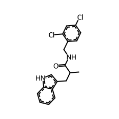 CC(Cc1c[nH]c2ccccc12)C(=O)NCc1ccc(Cl)cc1Cl